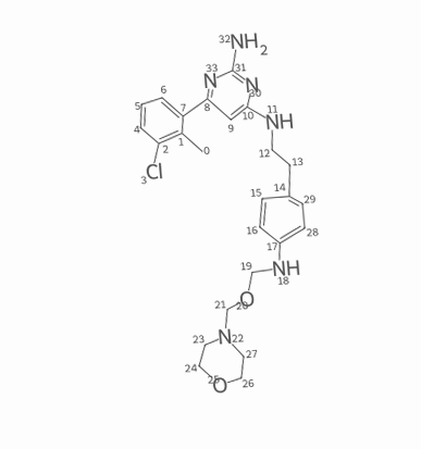 Cc1c(Cl)cccc1-c1cc(NCCc2ccc(NCOCN3CCOCC3)cc2)nc(N)n1